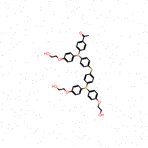 CC(=O)c1ccc([S+](c2ccc(OCCO)cc2)c2ccc(Sc3ccc([S+](c4ccc(OCCO)cc4)c4ccc(OCCO)cc4)cc3)cc2)cc1